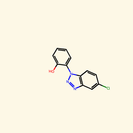 Oc1ccccc1-n1nnc2cc(Cl)ccc21